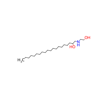 CCCCCCCCCCCCCCCCCCC(O)CNCCO